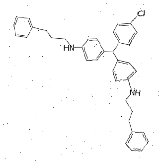 Clc1ccc(C(c2ccc(NCCCc3ccccc3)cc2)c2ccc(NCCCc3ccccc3)cc2)cc1